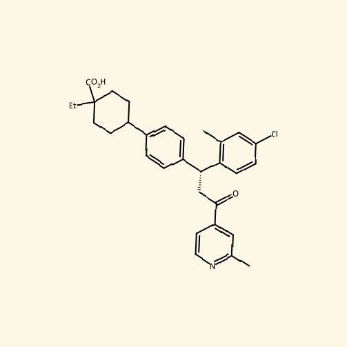 CCC1(C(=O)O)CCC(c2ccc([C@@H](CC(=O)c3ccnc(C)c3)c3ccc(Cl)cc3C)cc2)CC1